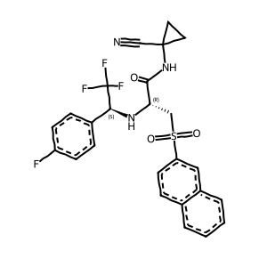 N#CC1(NC(=O)[C@H](CS(=O)(=O)c2ccc3ccccc3c2)N[C@@H](c2ccc(F)cc2)C(F)(F)F)CC1